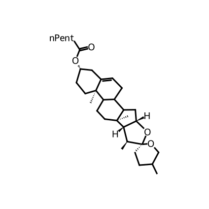 CCCCCC(=O)O[C@H]1CC[C@@]2(C)C(=CCC3C2CC[C@@]2(C)C3C[C@@H]3O[C@]4(CCC(C)CO4)[C@@H](C)[C@@H]32)C1